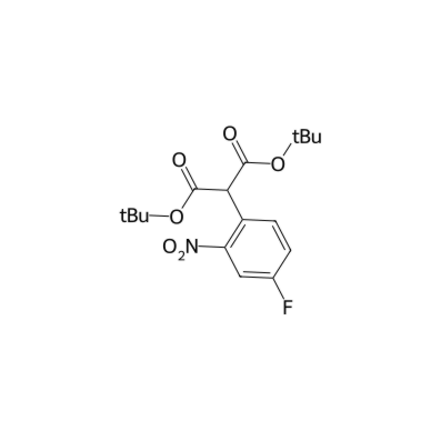 CC(C)(C)OC(=O)C(C(=O)OC(C)(C)C)c1ccc(F)cc1[N+](=O)[O-]